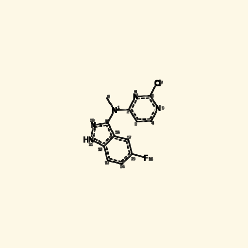 CN(c1ccnc(Cl)n1)c1n[nH]c2ccc(F)cc12